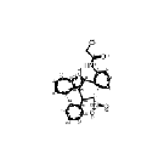 O=C(CCl)Nc1ccccc1-c1[nH]c2ccccc2c1C(C[N+](=O)[O-])c1ccccc1